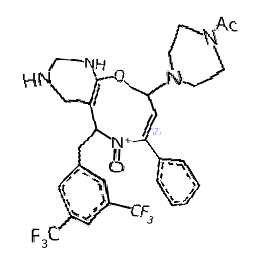 CC(=O)N1CCN(C2/C=C(/c3ccccc3)[N+](=O)C(Cc3cc(C(F)(F)F)cc(C(F)(F)F)c3)C3=C(NCNC3)O2)CC1